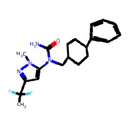 Cn1nc(C(C)(F)F)cc1N(CC1CCC(c2ccccc2)CC1)C(N)=O